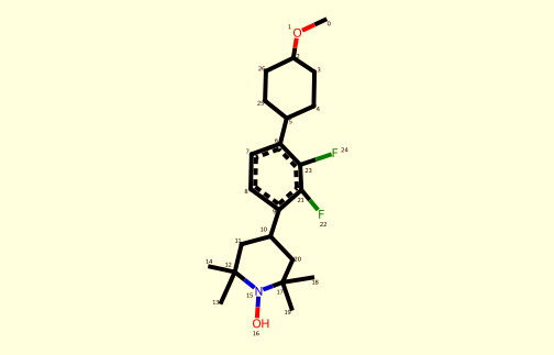 COC1CCC(c2ccc(C3CC(C)(C)N(O)C(C)(C)C3)c(F)c2F)CC1